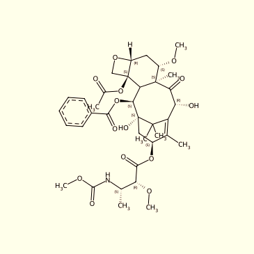 COC(=O)N[C@@H](C)[C@@H](OC)C(=O)O[C@H]1C[C@@]2(O)[C@@H](OC(=O)c3ccccc3)C3[C@](C)(C(=O)[C@H](O)C(=C1C)C2(C)C)[C@@H](OC)C[C@H]1OC[C@@]31OC(C)=O